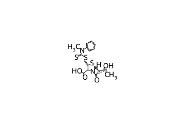 C[C@@H](O)[C@H]1C(=O)N2C(C(=O)O)C(=CSC(=S)N(C)c3ccccc3)S[C@H]12